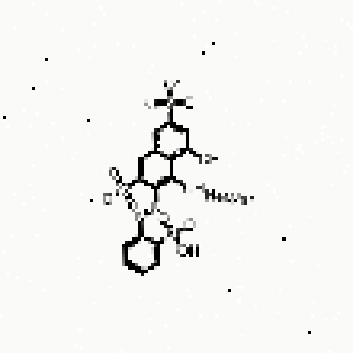 O=S(=O)([O-])c1cc(O)c2c(O)c(N=Nc3ccccc3[As](=O)([O-])O)c(S(=O)(=O)[O-])cc2c1.[Na+].[Na+].[Na+]